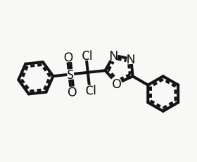 O=S(=O)(c1ccccc1)C(Cl)(Cl)c1nnc(-c2ccccc2)o1